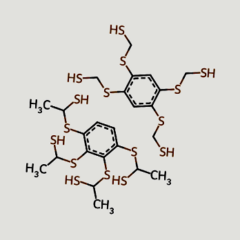 CC(S)Sc1ccc(SC(C)S)c(SC(C)S)c1SC(C)S.SCSc1cc(SCS)c(SCS)cc1SCS